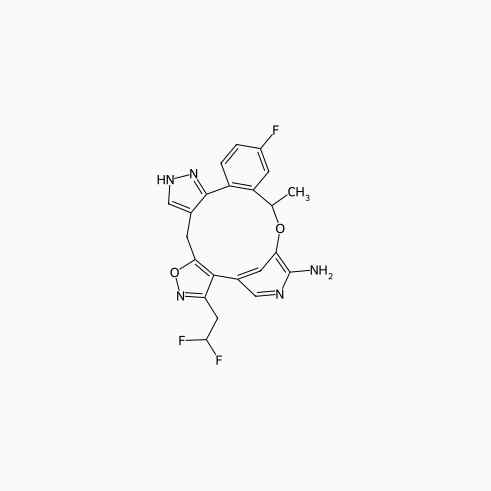 CC1Oc2cc(cnc2N)-c2c(CC(F)F)noc2Cc2c[nH]nc2-c2ccc(F)cc21